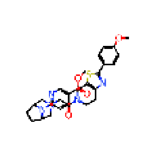 COC(=O)c1ccc(N2C3CCC2CN(CC(=O)N2CCc4nc(-c5ccc(OC)cc5)sc4C2)C3)nc1